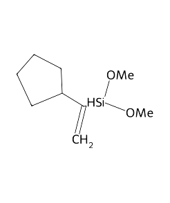 C=C(C1CCCC1)[SiH](OC)OC